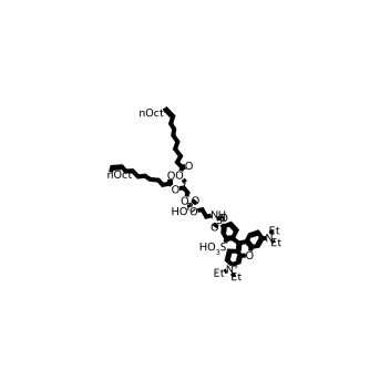 CCCCCCCC/C=C\CCCCCCCC(=O)OC[C@H](COP(=O)(O)OCCNS(=O)(=O)c1ccc(-c2c3ccc(=[N+](CC)CC)cc-3oc3cc(N(CC)CC)ccc23)c(S(=O)(=O)O)c1)OC(=O)CCCCCCC/C=C\CCCCCCCC